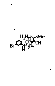 CSc1nc(N)nc(N(C)[C@@H](C)C(=O)Nc2cccc(Br)c2)c1C#N